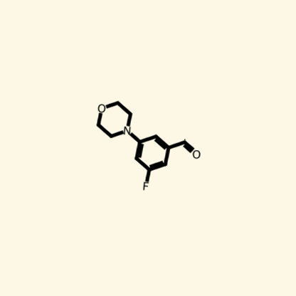 O=[C]c1cc(F)cc(N2CCOCC2)c1